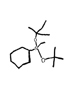 CC(C)(C)O[Si](C)(OC(C)(C)C)C1CCCCC1